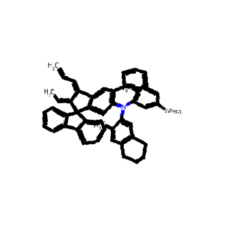 C=C/C=C1\C(=C/C)C2(c3cc(N(c4cc(CCCCC)ccc4C)c4cc5c(cc4C)CCCC5)c(-c4ccccc4)cc31)c1ccccc1-c1ccccc12